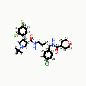 CC(C)(C)N1C[C@@H](C(=O)NCCC[C@H](NC(=O)C2CCOCC2)c2ccc(Cl)cc2)[C@H](c2ccc(F)cc2F)C1